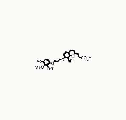 CCCc1c(OCCCOc2ccc(C(C)=O)c(OC)c2CCC)ccc2c1OC(CCC(=O)O)CC2